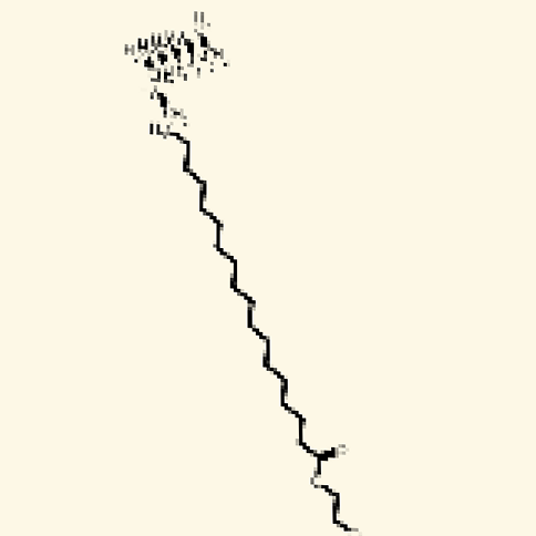 C=C.C=C.C=C.C=C.C=C.C=C.CCCCCCCCCCCCCCCCCC(=O)OCCO